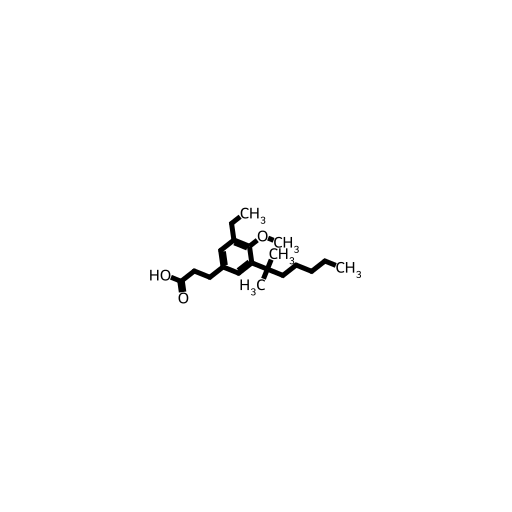 CCCCCC(C)(C)c1cc(CCC(=O)O)cc(CC)c1OC